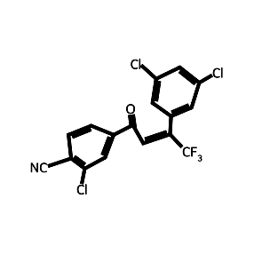 N#Cc1ccc(C(=O)C=C(c2cc(Cl)cc(Cl)c2)C(F)(F)F)cc1Cl